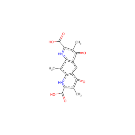 Cc1c(C(=O)O)[nH]c2c(C)c3[nH]c(C(=O)O)c(C)c(=O)c3cc2c1=O